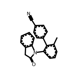 Cc1cccc(N2C(=O)Cc3ccccc32)c1-c1ccc(C#N)cc1